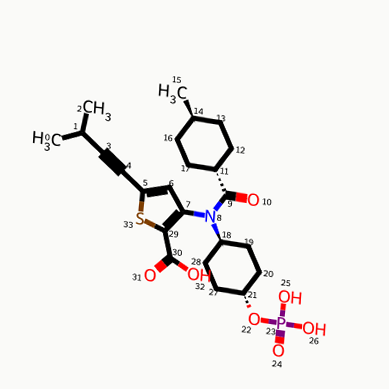 CC(C)C#Cc1cc(N(C(=O)[C@H]2CC[C@H](C)CC2)[C@H]2CC[C@H](OP(=O)(O)O)CC2)c(C(=O)O)s1